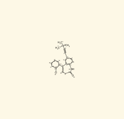 C[Si](C)(C)C#Cc1ccc2c(c1)C(c1ccccc1Cl)=NCC(=O)N2